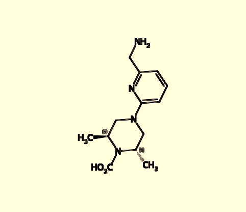 C[C@H]1CN(c2cccc(CN)n2)C[C@H](C)N1C(=O)O